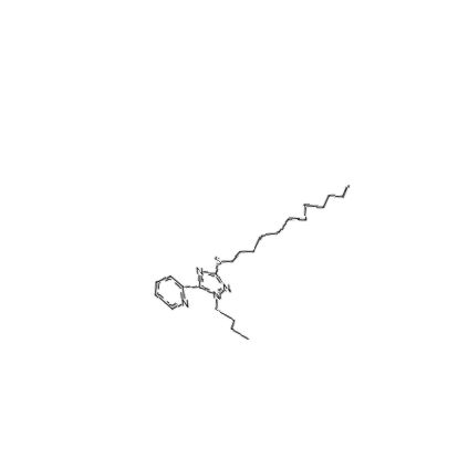 CCCCCCCCCCCCSc1nc(-c2ccccn2)n(CCCC)n1